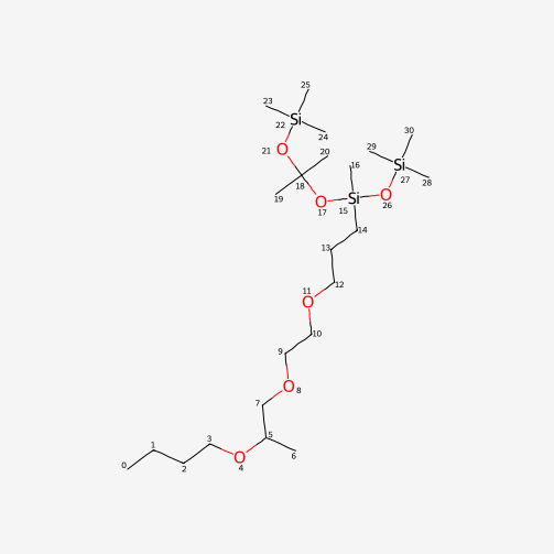 CCCCOC(C)COCCOCCC[Si](C)(OC(C)(C)O[Si](C)(C)C)O[Si](C)(C)C